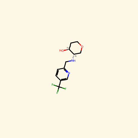 O[C@H]1CCOC[C@@H]1NCc1ccc(C(F)(F)F)cn1